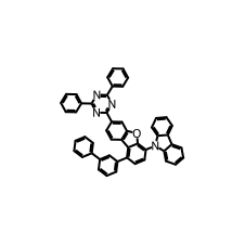 c1ccc(-c2cccc(-c3ccc(-n4c5ccccc5c5ccccc54)c4oc5cc(-c6nc(-c7ccccc7)nc(-c7ccccc7)n6)ccc5c34)c2)cc1